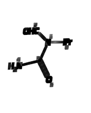 CC(C)N(C=O)C(N)=O